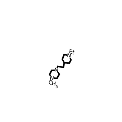 CCN1CCC(CCN2CCN(C)CC2)CC1